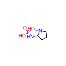 O=P(O)(O)NC1CCCN1